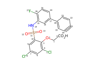 O=C(O)COc1c(Cl)cc(Cl)cc1S(=O)(=O)Nc1cc(-c2cc#ccc2)ccc1F